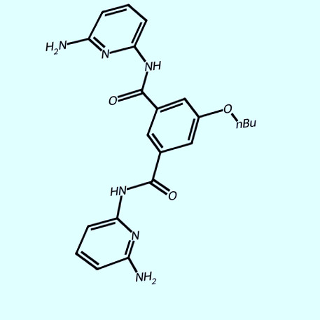 CCCCOc1cc(C(=O)Nc2cccc(N)n2)cc(C(=O)Nc2cccc(N)n2)c1